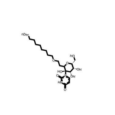 CCCCCCCCCCCCCCCCCCOCC[C]1O[C@H](CO)[C@H](O)[C@H](O)[C@]1(O)n1ccc(=O)[nH]c1=O